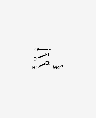 CCO.CC[O-].CC[O-].[Mg+2]